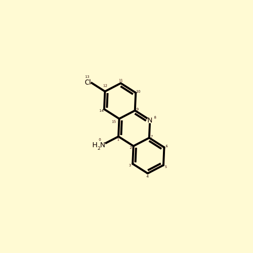 Nc1c2ccccc2nc2ccc(Cl)cc12